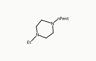 CCCCCN1CCN(CC)CC1